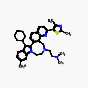 Cc1nc(C)c(-c2ccc3ccc4c(c3n2)CN(CCN(C)C)CCn2c-4c(C3CCCCC3)c3ccc(C(=O)O)cc32)s1